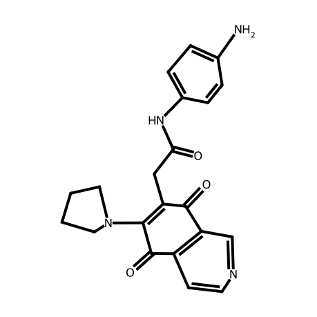 Nc1ccc(NC(=O)CC2=C(N3CCCC3)C(=O)c3ccncc3C2=O)cc1